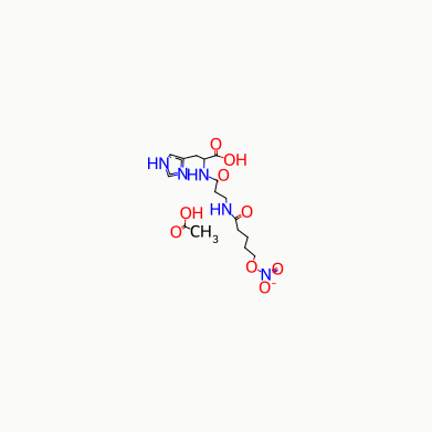 CC(=O)O.O=C(CCCCO[N+](=O)[O-])NCCC(=O)NC(Cc1c[nH]cn1)C(=O)O